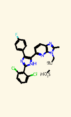 CS(=O)(=O)O.Cc1nc2ccc(-c3[nH]c(-c4c(Cl)cccc4Cl)nc3-c3ccc(F)cc3)nc2n1CC(C)(C)C